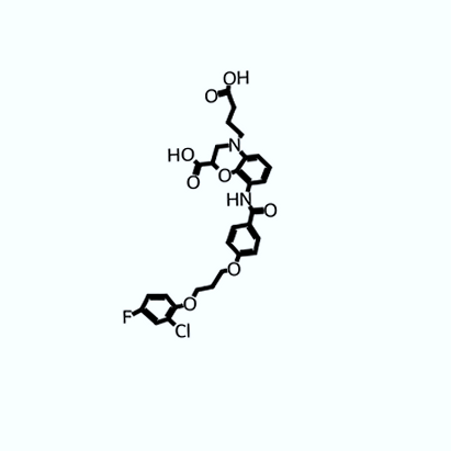 O=C(O)CCCN1CC(C(=O)O)Oc2c(NC(=O)c3ccc(OCCCOc4ccc(F)cc4Cl)cc3)cccc21